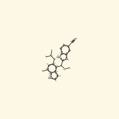 COC(c1nc2cc(C#N)ccc2[nH]1)c1c(CC(C)C)cc(C)c2[nH]ccc12